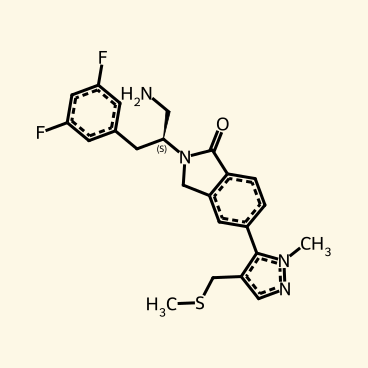 CSCc1cnn(C)c1-c1ccc2c(c1)CN([C@H](CN)Cc1cc(F)cc(F)c1)C2=O